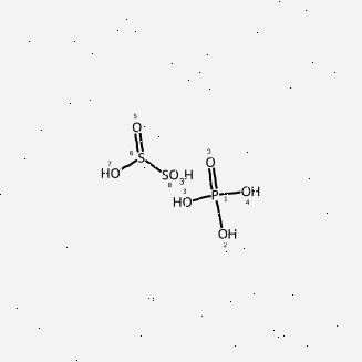 O=P(O)(O)O.O=S(O)S(=O)(=O)O